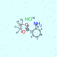 CC1(C)OB(c2ccccc2N)OC1(C)C.Cl